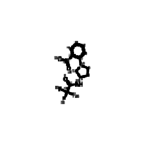 O=C(N[C@H]1CCN(c2ccccc2[N+](=O)[O-])C1)C(F)(F)F